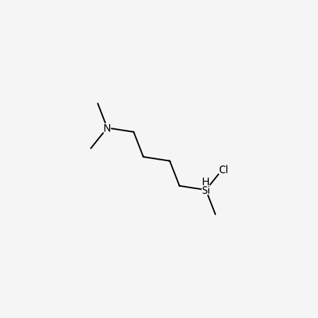 CN(C)CCCC[SiH](C)Cl